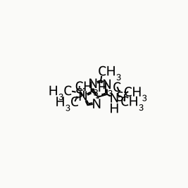 Cc1nc(N[Si](C)(C)C)c2ncn([Si](C)(C)C)c2n1